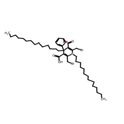 CCCCCCCCCCCCCCN1C(CBr)=C(C(=O)O)C(CCCCCCCCCCCCCC)(c2ccccc2)C(C(=O)O)=C1CBr